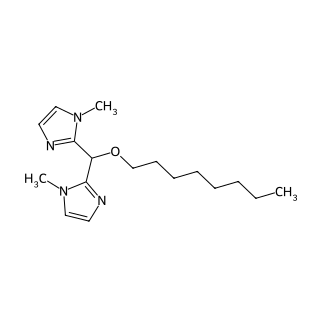 CCCCCCCCOC(c1nccn1C)c1nccn1C